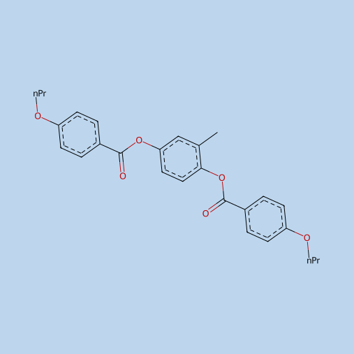 CCCOc1ccc(C(=O)Oc2ccc(OC(=O)c3ccc(OCCC)cc3)c(C)c2)cc1